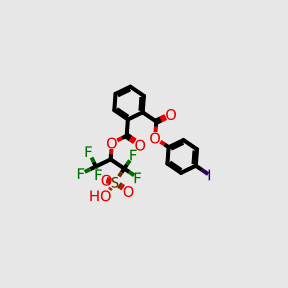 O=C(Oc1ccc(I)cc1)c1ccccc1C(=O)OC(C(F)(F)F)C(F)(F)S(=O)(=O)O